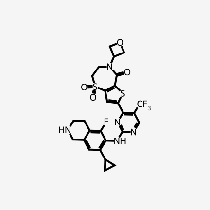 O=C1c2sc(-c3nc(Nc4c(C5CC5)cc5c(c4F)CCNC5)ncc3C(F)(F)F)cc2S(=O)(=O)CCN1C1COC1